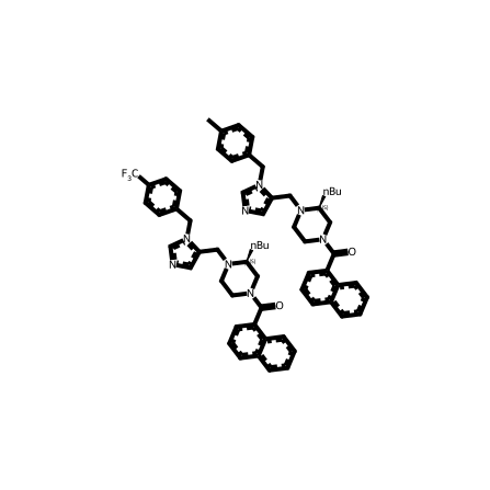 CCCC[C@H]1CN(C(=O)c2cccc3ccccc23)CCN1Cc1cncn1Cc1ccc(C(F)(F)F)cc1.CCCC[C@H]1CN(C(=O)c2cccc3ccccc23)CCN1Cc1cncn1Cc1ccc(C)cc1